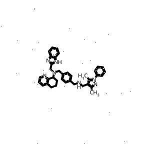 Cc1nn(-c2ccccc2)c(C)c1CNCc1ccc(CN(Cc2nc3ccccc3[nH]2)C2CCCc3cccnc32)cc1